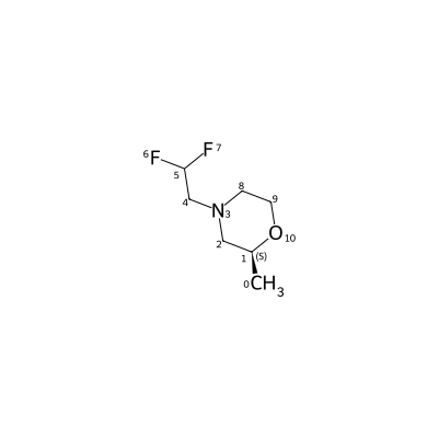 C[C@H]1CN(CC(F)F)CCO1